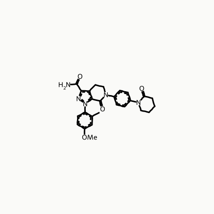 COc1ccc(-n2nc(C(N)=O)c3c2C(=O)N(c2ccc(N4CCCCC4=O)cc2)CC3)c(C)c1